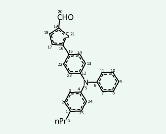 CCCc1ccc(N(c2ccccc2)c2ccc(-c3ccc(C=O)s3)cc2)cc1